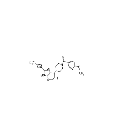 O=C(c1ccc(OC(F)(F)F)cc1)N1CCC(c2c(F)cnc3[nH]c(C45CC(C(F)(F)F)(C4)C5)nc23)CC1